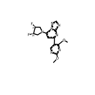 COc1ncc(-c2cc(N3C[C@@H](F)[C@@H](F)C3)n3ncnc3n2)c(OC)n1